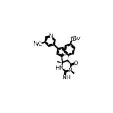 CN1C(=N)N[C@](C)(c2cc(-c3cncc(C#N)c3)cs2)[C@H](c2ccc(C(C)(C)C)cc2)C1=O